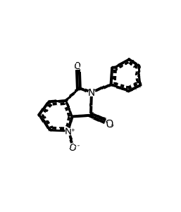 O=C1c2ccc[n+]([O-])c2C(=O)N1c1ccccc1